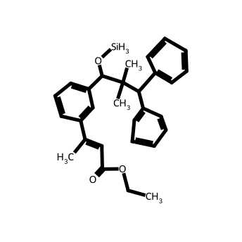 CCOC(=O)C=C(C)c1cccc(C(O[SiH3])C(C)(C)C(c2ccccc2)c2ccccc2)c1